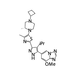 COc1cc(-c2[nH]nc(-c3nc(C)c(N4CCN(C5CCC5)C[C@H]4C)s3)c2C(C)C)cn2ncnc12